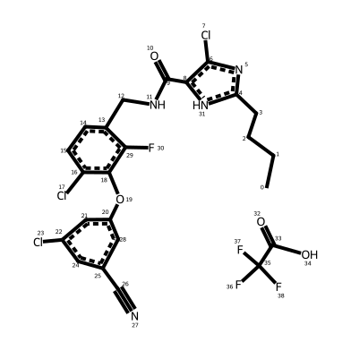 CCCCc1nc(Cl)c(C(=O)NCc2ccc(Cl)c(Oc3cc(Cl)cc(C#N)c3)c2F)[nH]1.O=C(O)C(F)(F)F